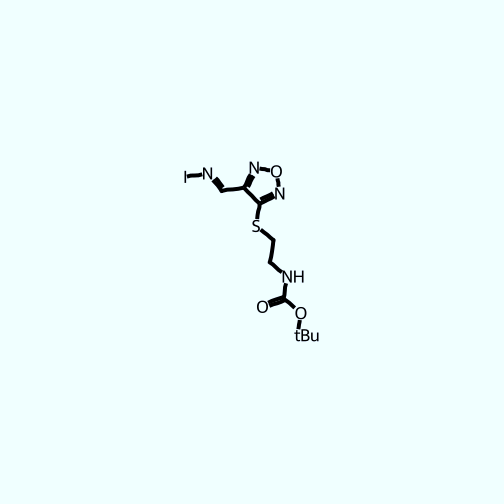 CC(C)(C)OC(=O)NCCSc1nonc1/C=N/I